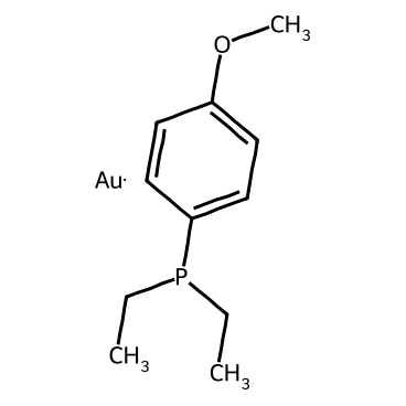 CCP(CC)c1ccc(OC)cc1.[Au]